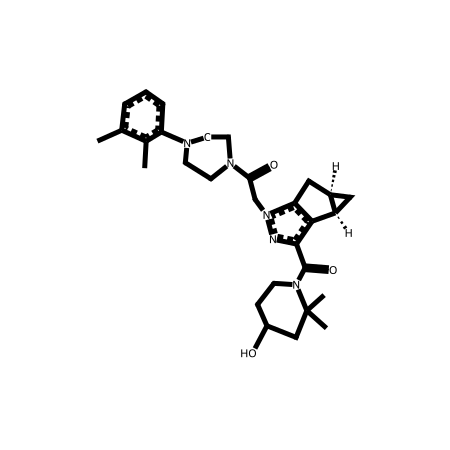 Cc1cccc(N2CCN(C(=O)Cn3nc(C(=O)N4CCC(O)CC4(C)C)c4c3C[C@H]3C[C@@H]43)CC2)c1C